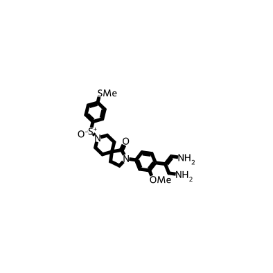 COc1cc(N2CCC3(CCN([S+]([O-])c4ccc(SC)cc4)CC3)C2=O)ccc1/C(=C/N)CN